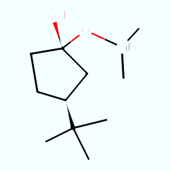 C[SiH](C)O[C@@]1(O)CC[C@H](C(C)(C)C)C1